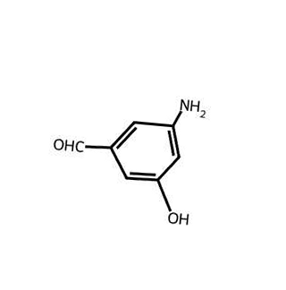 Nc1cc(O)cc(C=O)c1